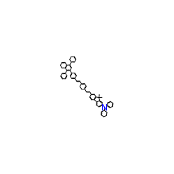 CC1(C)c2cc(/C=C/C3=CC=C(/C=C/c4ccc(-c5cc(C6=CC=CCC6)c6c(c5-c5ccccc5)CCC=C6)cc4)CC3)ccc2-c2ccc(N(c3ccccc3)C3C=CCCC3)cc21